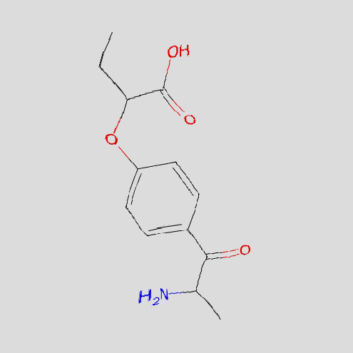 CCC(Oc1ccc(C(=O)C(C)N)cc1)C(=O)O